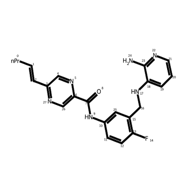 CCC/C=C/c1cnc(C(=O)Nc2ccc(F)c(CNc3cccnc3N)c2)cn1